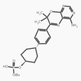 CC(C)COP(=O)(O)O[C@H]1CC[C@H](c2ccc(C3=Nc4c(N)ncnc4OC3(C)C)cc2)CC1